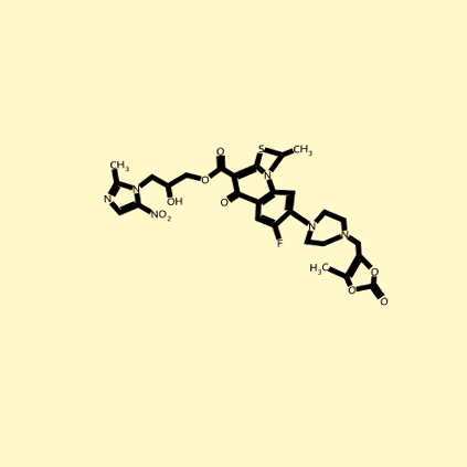 Cc1oc(=O)oc1CN1CCN(c2cc3c(cc2F)c(=O)c(C(=O)OCC(O)Cn2c([N+](=O)[O-])cnc2C)c2n3C(C)S2)CC1